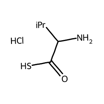 CC(C)C(N)C(=O)S.Cl